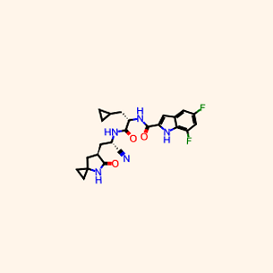 N#C[C@H](C[C@@H]1CC2(CC2)NC1=O)NC(=O)[C@H](CC1CC1)NC(=O)c1cc2cc(F)cc(F)c2[nH]1